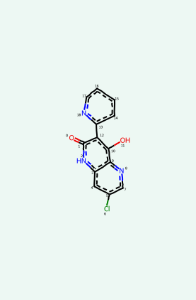 O=c1[nH]c2cc(Cl)cnc2c(O)c1-c1ccccn1